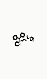 O=C(OCCN(c1ccccn1)C(c1ccccc1)c1ccccc1)n1ccnc1